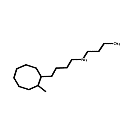 CC1CCCCCCC1CCCCNCCCO